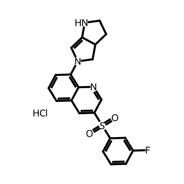 Cl.O=S(=O)(c1cccc(F)c1)c1cnc2c(N3C=C4NCCC4C3)cccc2c1